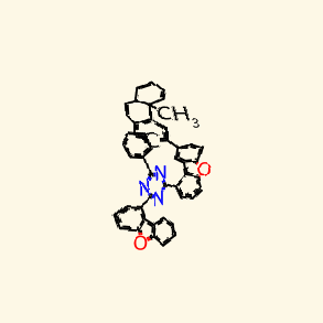 CC12C=CC=CC1C=Cc1ccc(-c3ccc4oc5cccc(-c6nc(-c7ccccc7)nc(-c7cccc8oc9ccccc9c78)n6)c5c4c3)cc12